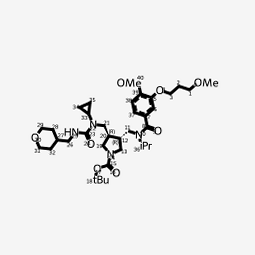 COCCCOc1cc(C(=O)N(C[C@@H]2CN(C(=O)OC(C)(C)C)C[C@H]2CN(C(=O)NCC2CCOCC2)C2CC2)C(C)C)ccc1OC